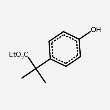 CCOC(=O)C(C)(C)c1ccc(O)cc1